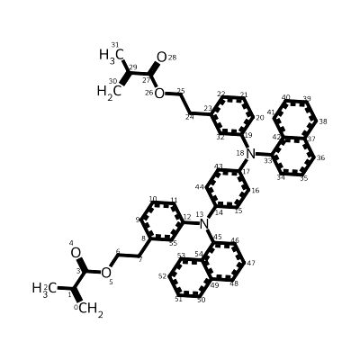 C=C(C)C(=O)OCCc1cccc(N(c2ccc(N(c3cccc(CCOC(=O)C(=C)C)c3)c3cccc4ccccc34)cc2)c2cccc3ccccc23)c1